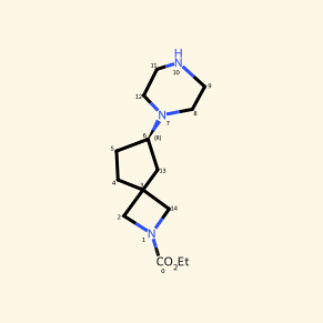 CCOC(=O)N1CC2(CC[C@@H](N3CCNCC3)C2)C1